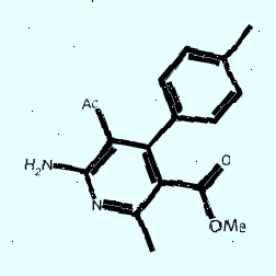 COC(=O)c1c(C)nc(N)c(C(C)=O)c1-c1ccc(C)cc1